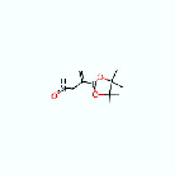 C=C(C[SiH]=O)B1OC(C)(C)C(C)(C)O1